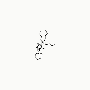 CCC[CH2][Sn]([CH2]CCC)([CH2]CCC)[c]1ncn(C2CCCCO2)c1C